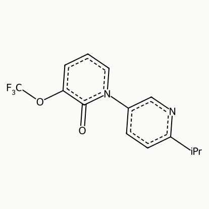 CC(C)c1ccc(-n2cccc(OC(F)(F)F)c2=O)cn1